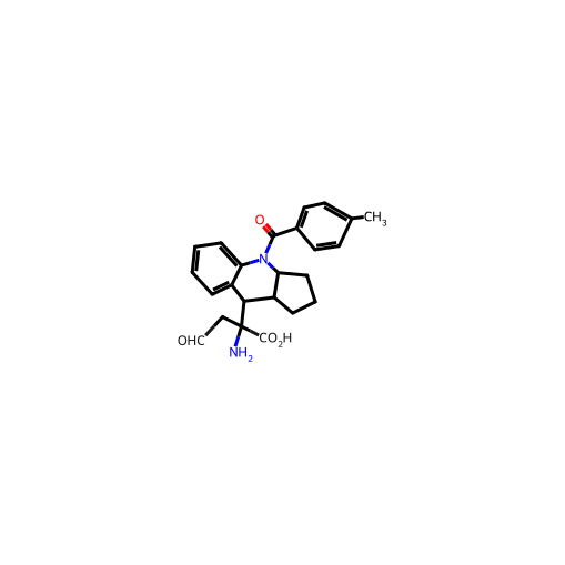 Cc1ccc(C(=O)N2c3ccccc3C(C(N)(CC=O)C(=O)O)C3CCCC32)cc1